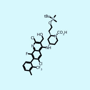 Cc1cccc(-c2c(Cl)cc3c(N[C@H]4CCN(C(=O)O)[C@H](CCO[Si](C)(C)C(C)(C)C)C4)c(CO)c(Cl)nc3c2F)c1C(F)(F)F